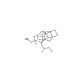 CCC(C)CC12CC3CC(C)(CS)CC4CC56CCC57C(C4C)C3C7(C1)C26